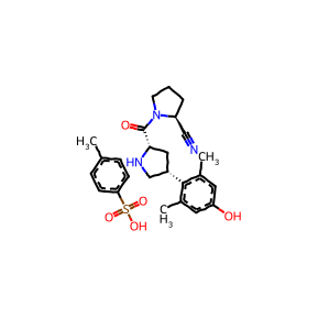 Cc1cc(O)cc(C)c1[C@@H]1CN[C@H](C(=O)N2CCC[C@H]2C#N)C1.Cc1ccc(S(=O)(=O)O)cc1